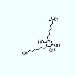 CCC(C)(C)CCCCCCc1cc(O)c(O)c(CCCCCCC(C)(C)C)c1O